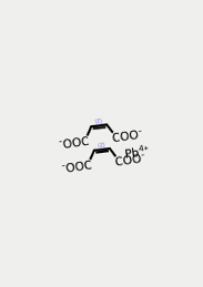 O=C([O-])/C=C\C(=O)[O-].O=C([O-])/C=C\C(=O)[O-].[Pb+4]